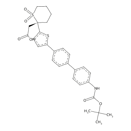 CC(C)(C)OC(=O)Nc1ccc(-c2ccc(-c3ccc([C@@]4(CC(=O)O)CCCCS4(=O)=O)s3)cc2)cc1